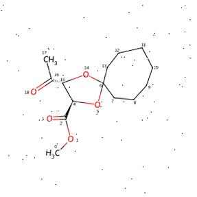 COC(=O)[C@@H]1OC2(CCCCCCC2)O[C@H]1C(C)=O